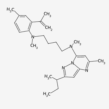 C=C(C)c1cc(C)ccc1N(C)CCCCN(C)c1cc(C)nc2cc(C(C)CC)nn12